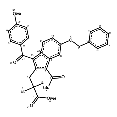 CCC(C)(Cc1c(C(=O)C(C)(C)C)c2cc(OCc3ccccc3)ccn2c1C(=O)c1ccc(OC)cc1)C(=O)OC